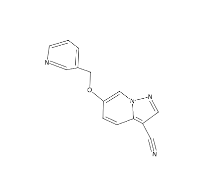 N#Cc1cnn2cc(OCc3cccnc3)ccc12